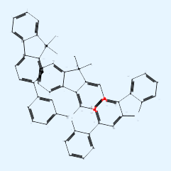 CC1(C)c2ccccc2-c2ccc(-c3cccc(N(c4ccccc4-c4ccc5c(c4)sc4ccccc45)c4cccc5c4-c4ccccc4C5(C)C)c3)cc21